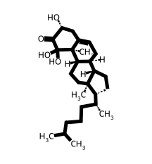 CC(C)CCC[C@@H](C)[C@H]1CC[C@H]2[C@@H]3CC=C4C[C@@H](O)C(=O)C(O)(O)[C@]4(C)[C@H]3CC[C@]12C